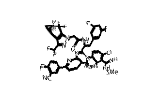 CNc1c(-n2c(C(Cc3cc(F)cc(F)c3)NC(=O)Cn3nc(C(F)F)c4c3C(F)(F)[C@@H]3CC43)nc3nc(-c4ccc(F)c(C#N)c4)ccc3c2=O)ccc(Cl)c1C(=N)NSC